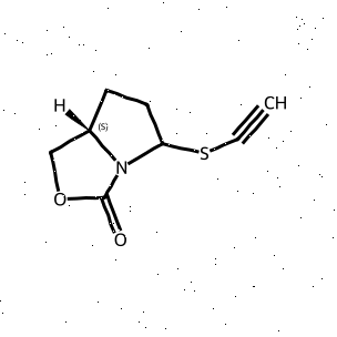 C#CSC1CC[C@H]2COC(=O)N12